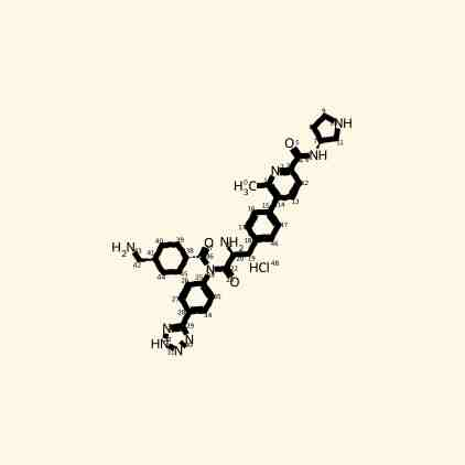 Cc1nc(C(=O)N[C@@H]2CCNC2)ccc1-c1ccc(C[C@H](N)C(=O)N(c2ccc(-c3nn[nH]n3)cc2)C(=O)[C@H]2CC[C@H](CN)CC2)cc1.Cl